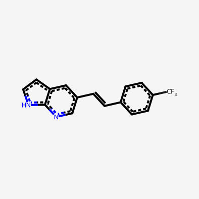 FC(F)(F)c1ccc(C=Cc2cnc3[nH]ccc3c2)cc1